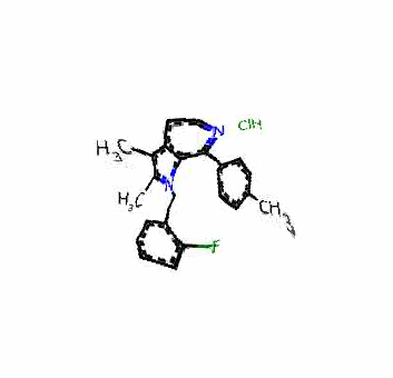 Cc1ccc(-c2nccc3c(C)c(C)n(Cc4ccccc4F)c23)cc1.Cl